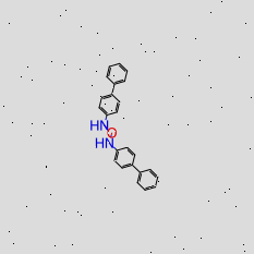 c1ccc(-c2ccc(NONc3ccc(-c4ccccc4)cc3)cc2)cc1